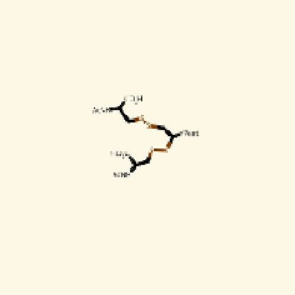 CCCCCC(CSSCC(NC(C)=O)C(=O)O)SSCC(NC(C)=O)C(=O)O